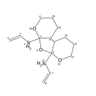 C=C[SiH2]C1(OC2([SiH2]C=C)CCCCO2)CCCCO1